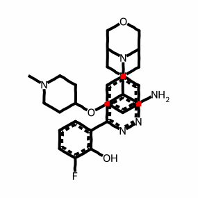 CN1CCC(Oc2cccc(N3C4COCC3CN(c3cc(-c5cccc(F)c5O)nnc3N)C4)c2)CC1